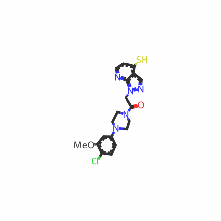 COc1cc(N2CCN(C(=O)Cn3ncc4c(S)ccnc43)CC2)ccc1Cl